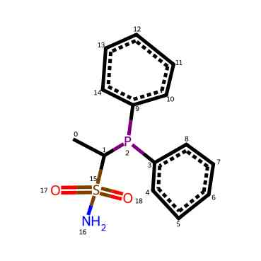 CC(P(c1ccccc1)c1ccccc1)S(N)(=O)=O